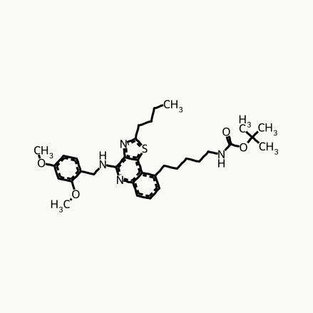 CCCCc1nc2c(NCc3ccc(OC)cc3OC)nc3cccc(CCCCCNC(=O)OC(C)(C)C)c3c2s1